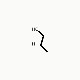 CCCO.[H+]